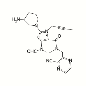 CC#CCn1c(N2CCCC(N)C2)nc(N(C)C=O)c1C(=O)N(C)Cc1nccnc1C#N